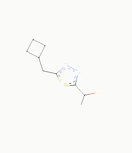 CC(O)c1nnc(CC2CCC2)s1